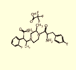 CC(C(C(N)=O)c1ccccc1F)N1CCN(C(=O)C(N)Cc2ccc(F)cc2)C(C)C1.O=C(O)C(F)(F)F